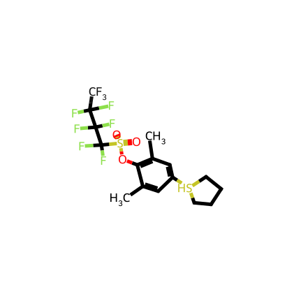 Cc1cc([SH]2CCCC2)cc(C)c1OS(=O)(=O)C(F)(F)C(F)(F)C(F)(F)C(F)(F)F